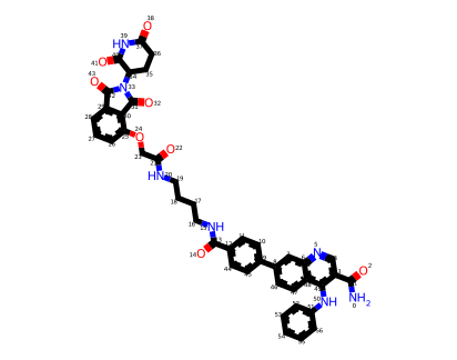 NC(=O)c1cnc2cc(-c3ccc(C(=O)NCCCCNC(=O)COc4cccc5c4C(=O)N(C4CCC(=O)NC4=O)C5=O)cc3)ccc2c1Nc1ccccc1